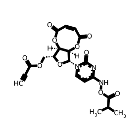 C#CC(=O)OC[C@H]1O[C@@H](n2ccc(NOC(=O)C(C)C)nc2=O)[C@@H]2OC(=O)/C=C\C(=O)O[C@@H]21